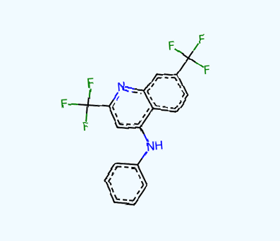 FC(F)(F)c1ccc2c(Nc3ccccc3)cc(C(F)(F)F)nc2c1